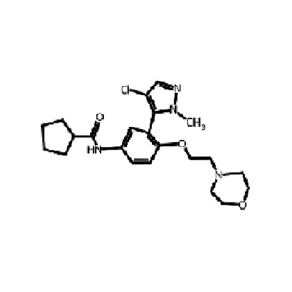 Cn1ncc(Cl)c1-c1cc(NC(=O)C2CCCC2)ccc1OCCN1CCOCC1